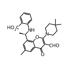 Cc1cc([C@@H](C)Nc2ccccc2C(=O)O)c2oc(N3CCC(C)(C)CC3)c(C=O)c(=O)c2c1